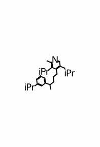 Cc1ncc(CC(C)C)c(CCCC(C)c2cc(C(C)C)cc(C(C)C)c2)c1C